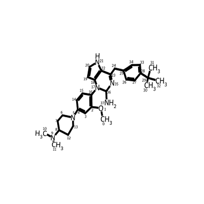 COc1cc(N2CCC(N(C)C)CC2)ccc1N1c2cc[nH]c2C(Cc2ccc(C(C)(C)C)cc2)=NC1N